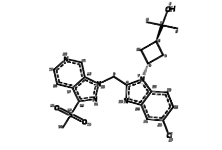 CC(C)(O)[C@H]1C[C@H](n2c(Cn3nc(S(C)(=O)=O)c4ccncc43)nc3cc(Cl)ccc32)C1